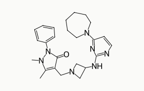 Cc1c(CN2CC(Nc3nccc(N4CCCCCC4)n3)C2)c(=O)n(-c2ccccc2)n1C